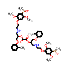 COc1cc([S+](C)[O-])c(OC)cc1OCCNCC(COc1ccccc1C)OC(=O)C(=O)OC(CNCCOc1cc(OC)c([S+](C)[O-])cc1OC)COc1ccccc1C